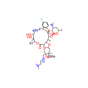 CCC1OC(=O)C(C)C(O[C@H]2C[C@@](C)(OC)[C@](O)(CNCCN(C)C)[C@H](C)O2)C(C)C(O[C@@H]2O[C@H](C)C[C@H](N(C)C)[C@H]2Oc2ccc(F)cc2)C(C)(O)CC(C)CNC(C)C(O)C1(C)O